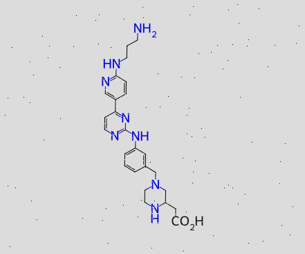 NCCCNc1ccc(-c2ccnc(Nc3cccc(CN4CCNC(CC(=O)O)C4)c3)n2)cn1